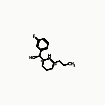 CCC[C@H]1CCC[C@@H](C(O)c2cccc(F)c2)N1